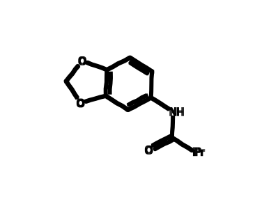 CC(C)C(=O)Nc1ccc2c(c1)OCO2